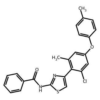 Cc1ccc(Oc2cc(C)c(-c3csc(NC(=O)c4ccccc4)n3)c(Cl)c2)cc1